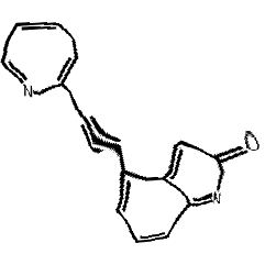 O=C1C=c2c(C#Cc3ccccn3)cccc2=N1